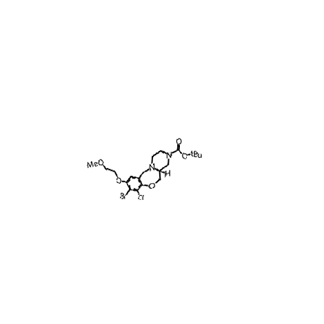 COCCOc1cc2c(c(Cl)c1Br)OC[C@H]1CN(C(=O)OC(C)(C)C)CCN1C2